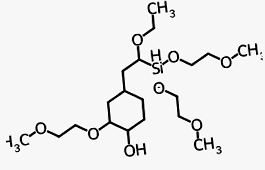 CCOC(CC1CCC(O)C(OCCOC)C1)[SiH](OCCOC)OCCOC